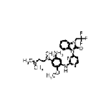 COc1cc(N(C)CCN(C)C)c(N)cc1Nc1nccc(-n2c(=O)n(CC(F)(F)F)c3ccccc32)n1